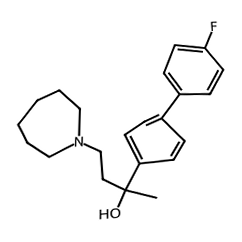 CC(O)(CCN1CCCCCC1)c1ccc(-c2ccc(F)cc2)cc1